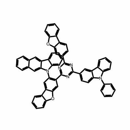 c1ccc(-n2c3ccccc3c3cc(-c4nc(-c5ccc6c(c5)oc5ccccc56)nc(-c5cc6oc7ccccc7c6cc5-n5c6ccccc6c6cc7ccccc7cc65)n4)ccc32)cc1